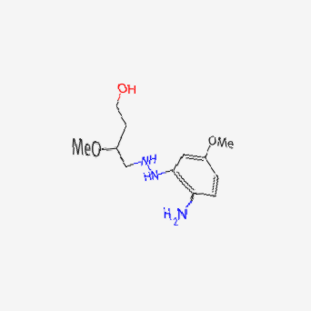 COc1ccc(N)c(NNCC(CCO)OC)c1